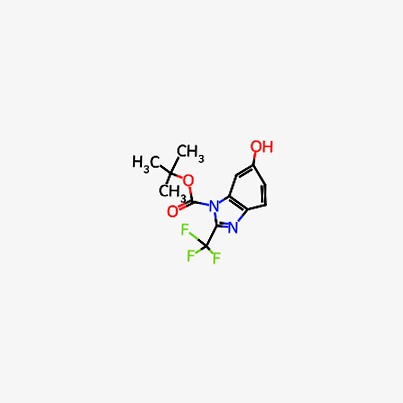 CC(C)(C)OC(=O)n1c(C(F)(F)F)nc2ccc(O)cc21